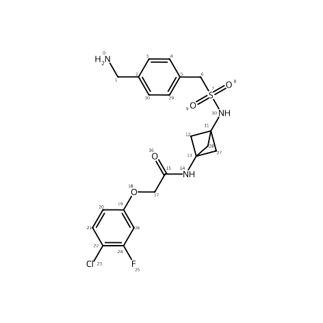 NCc1ccc(CS(=O)(=O)NC23CC(NC(=O)COc4ccc(Cl)c(F)c4)(C2)C3)cc1